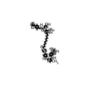 Cc1cnc(Nc2ccc(N3CCN(C(=O)CCCCCCCCCC(=O)N[C@H](C(=O)N4C[C@H](O)C[C@H]4C(=O)NCc4ccc(-c5scnc5C)cc4)C(C)(C)C)CC3)cc2)nc1Nc1cccc(S(=O)(=O)NC(C)(C)C)c1